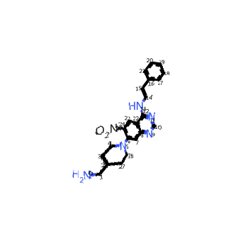 NCC1CCN(c2cc3ncnc(NCCc4ccccc4)c3cc2[N+](=O)[O-])CC1